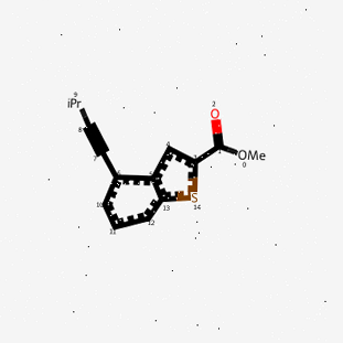 COC(=O)c1cc2c(C#CC(C)C)cccc2s1